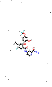 COc1cc(OC(F)(F)F)ccc1Oc1cc(C2CC2)c(F)cc1C(=O)Nc1ccnc(C(N)=O)c1